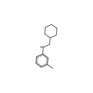 Cc1cccc(NCC2CCCCC2)c1